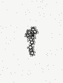 CC1(C)c2cc(-c3ccc4cc5ccccc5cc4c3)ccc2-c2ccc(N(c3cccc4ccccc34)c3cccc4ccccc34)cc21